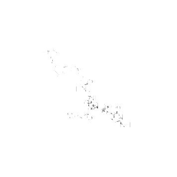 CC/C=C\C/C=C\C/C=C\C/C=C\C/C=C\CCCC(=O)NCCNP(=O)(NCC(=O)OC)OC[C@@H]1O[C@H](n2ccc(N)nc2=O)CS1